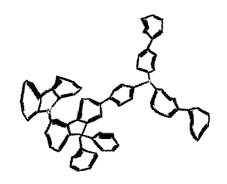 c1ccc(-c2ccc(N(c3ccc(-c4ccccc4)cc3)c3ccc(-c4ccc5c(c4)C(c4ccccc4)(c4ccccc4)c4cccc(-n6c7ccccc7c7ccccc76)c4-5)cc3)cc2)cc1